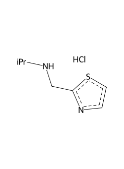 CC(C)NCc1nccs1.Cl